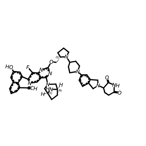 C#Cc1cccc2cc(O)cc(-c3ncc4c(N5C[C@H]6CC[C@@H](C5)N6)nc(OC[C@@H]5CCCN5C5CCN(c6ccc7c(c6)CN(C6CCC(=O)NC6=O)C7)CC5)nc4c3F)c12